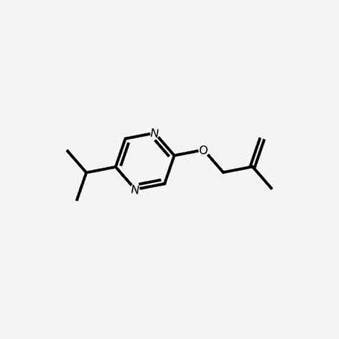 C=C(C)COc1cnc(C(C)C)cn1